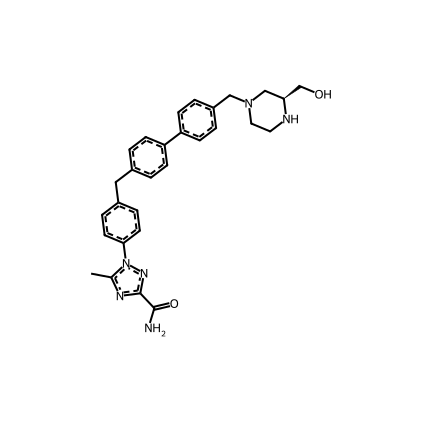 Cc1nc(C(N)=O)nn1-c1ccc(Cc2ccc(-c3ccc(CN4CCN[C@H](CO)C4)cc3)cc2)cc1